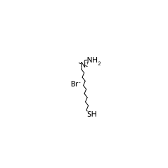 C[N+](C)(CN)CCCCCCCCCCCS.[Br-]